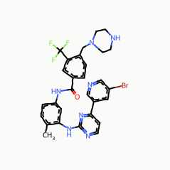 Cc1ccc(NC(=O)c2ccc(CN3CCNCC3)c(C(F)(F)F)c2)cc1Nc1nccc(-c2cncc(Br)c2)n1